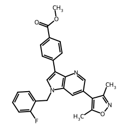 COC(=O)c1ccc(-c2cn(Cc3ccccc3F)c3cc(-c4c(C)noc4C)cnc23)cc1